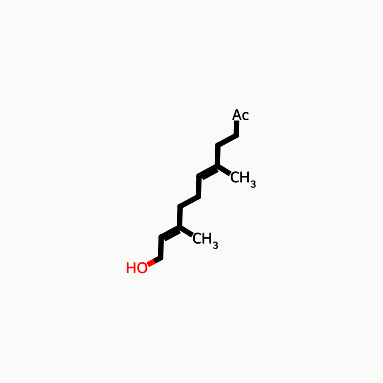 CC(=O)CC/C(C)=C/CC/C(C)=C/CO